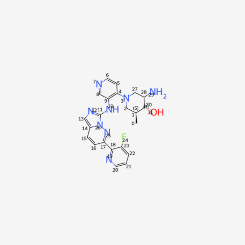 C[C@H]1CN(c2ccncc2Nc2ncc3ccc(-c4ncccc4F)nn23)CC(N)[C@@H]1O